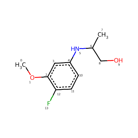 COc1cc(NC(C)CO)ccc1F